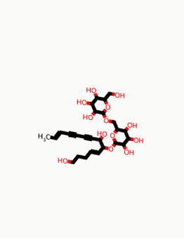 C/C=C/C#CC#CC(O)C(/C=C/CCCO)OC1OC(COC2OC(CO)C(O)C(O)C2O)C(O)C(O)C1O